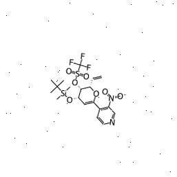 C=C[C@@H]1OC(c2ccncc2[N+](=O)[O-])=C[C@H](O[Si](C)(C)C(C)(C)C)[C@@H]1OS(=O)(=O)C(F)(F)F